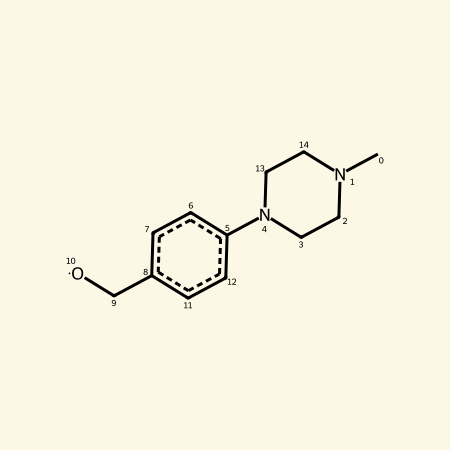 CN1CCN(c2ccc(C[O])cc2)CC1